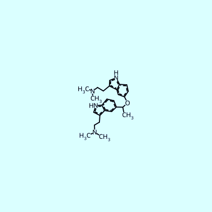 CC(Oc1ccc2[nH]cc(CCN(C)C)c2c1)c1ccc2[nH]cc(CCN(C)C)c2c1